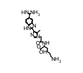 Cc1c(-c2nc3cc(C(=N)N)ccc3[nH]2)ncn1CC(=O)NC(CCCCN)C(=O)O